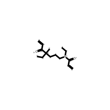 C=CC(=O)N(CC)CCCC(C)(CC)C(=O)C=C